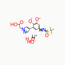 COc1cc([C@@H](C)N[S@@+]([O-])C(C)(C)C)cc(-c2cnn(CC(=O)O)c2)c1OC.O.[Li+].[OH-]